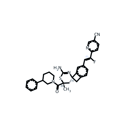 C[C@]1(C(=O)N2CCCC(c3ccccc3)C2)C[C@]2(Cc3ccc(/C=C(\F)c4ccc(C#N)cn4)cc32)N=C(N)S1